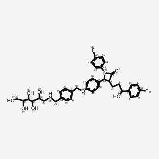 O=C1C(CCC(O)c2ccc(F)cc2)C(c2ccc(OCc3ccc(CNCC(O)C(O)C(O)C(O)CO)cc3)cc2)N1c1ccc(F)cc1